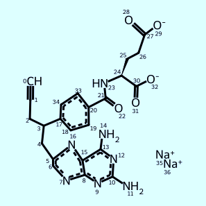 C#CCC(Cc1cnc2nc(N)nc(N)c2n1)c1ccc(C(=O)N[C@@H](CCC(=O)[O-])C(=O)[O-])cc1.[Na+].[Na+]